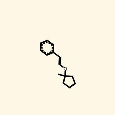 CC1(OC=Cc2ccccc2)CCCC1